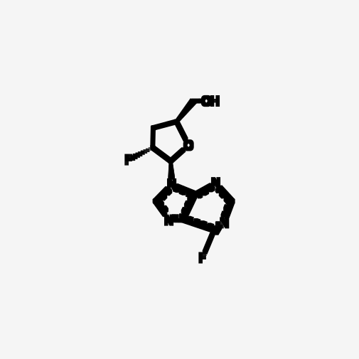 OC[C@@H]1C[C@@H](F)[C@H](n2cnc3c(F)ncnc32)O1